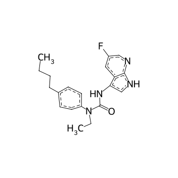 CCCCc1ccc(N(CC)C(=O)Nc2c[nH]c3ncc(F)cc23)cc1